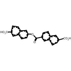 O=C(O)c1ccc2cc(OC(=O)c3ccc4cc(C(=O)O)ccc4c3)ccc2c1